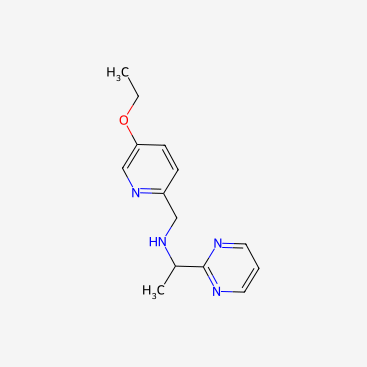 CCOc1ccc(CNC(C)c2ncccn2)nc1